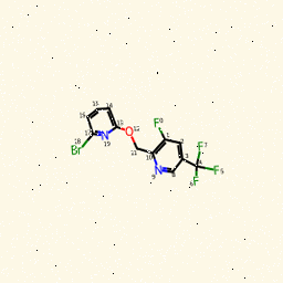 Fc1cc(C(F)(F)F)cnc1COc1cccc(Br)n1